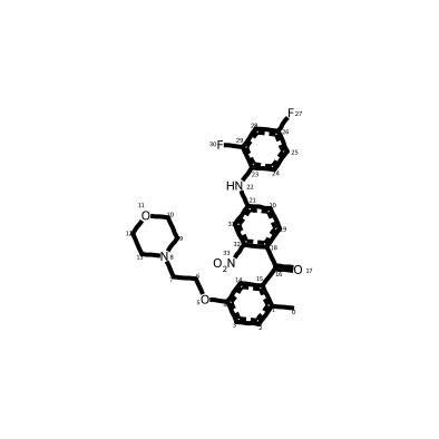 Cc1ccc(OCCN2CCOCC2)cc1C(=O)c1ccc(Nc2ccc(F)cc2F)cc1[N+](=O)[O-]